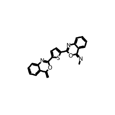 C=C1OC(c2ccc(-c3nc4ccccc4/c(=N/C)o3)s2)=Nc2ccccc21